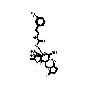 C=C1N[C@H]2[C@H](CN3C(=O)CCC3=O)NC(=N)N3C[C@H](OC(=O)NCCc4cccc(C(F)(F)F)c4)C(O)(O)[C@]23N1